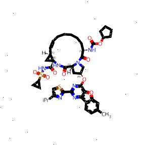 Cc1ccc2c(c1)oc1c(O[C@@H]3C[C@H]4C(=O)N[C@]5(C(=O)NS(=O)(=O)C6CC6)C[C@H]5/C=C\CCCCC[C@H](NC(=O)OC5CCCC5)C(=O)N4C3)nc(-c3nc(C(C)C)cs3)nc12